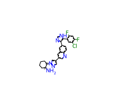 N[C@@H]1CCCC[C@H]1n1cc(-c2cnc3ccc(-c4nc[nH]c4-c4cc(Cl)c(F)cc4F)cc3c2)cn1